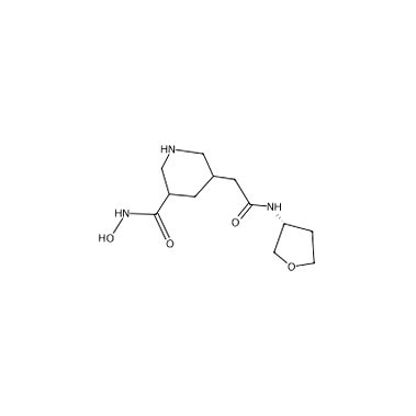 O=C(CC1CNCC(C(=O)NO)C1)N[C@@H]1CCOC1